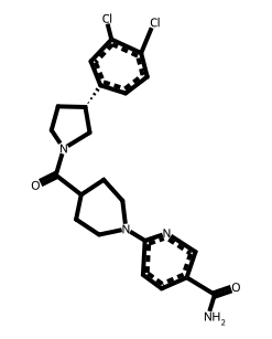 NC(=O)c1ccc(N2CCC(C(=O)N3CC[C@H](c4ccc(Cl)c(Cl)c4)C3)CC2)nc1